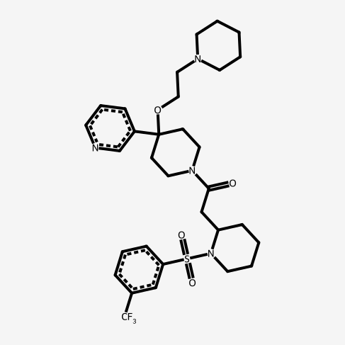 O=C(CC1CCCCN1S(=O)(=O)c1cccc(C(F)(F)F)c1)N1CCC(OCCN2CCCCC2)(c2cccnc2)CC1